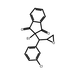 CCC1(C(c2cccc(Cl)c2)C2CO2)C(=O)c2ccccc2C1=O